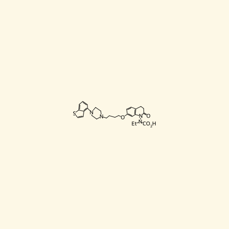 CCN(C(=O)O)N1C(=O)CCc2ccc(OCCCCN3CCN(c4cccc5sccc45)CC3)cc21